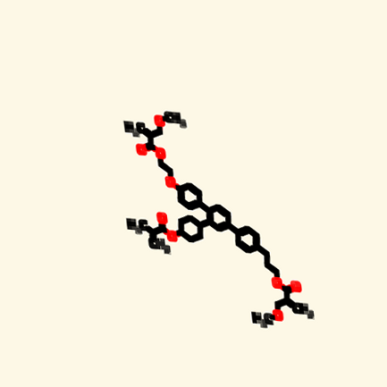 C=C(C)C(=O)OC1CCC(c2cc(-c3ccc(CCCOC(=O)C(=C)COC)cc3)ccc2-c2ccc(OCCOC(=O)C(=C)COC)cc2)CC1